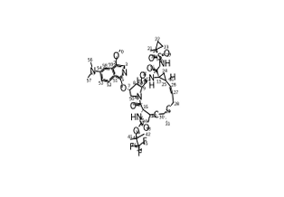 COc1cnc(O[C@@H]2C[C@H]3C(=O)N[C@]4(C(=O)NS(=O)(=O)C5(C)CC5)C[C@H]4/C=C\CC[C@H](C)C[C@@H](C)[C@H](NC(=O)OC(C)(C)C(F)(F)F)C(=O)N3C2)c2ccc(N(C)C)cc12